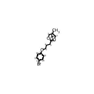 CC12COC(CCCOc3ccc(Br)cc3)(OC1)OC2